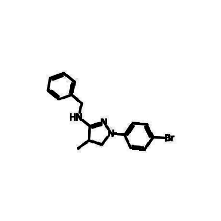 CC1CN(c2ccc(Br)cc2)N=C1NCc1ccccc1